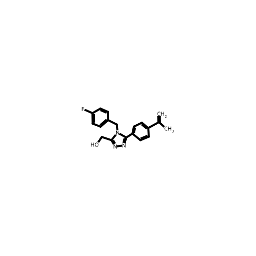 C=C(C)c1ccc(-c2nnc(CO)n2Cc2ccc(F)cc2)cc1